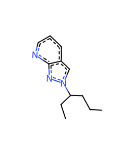 CCCC(CC)n1cc2cccnc2n1